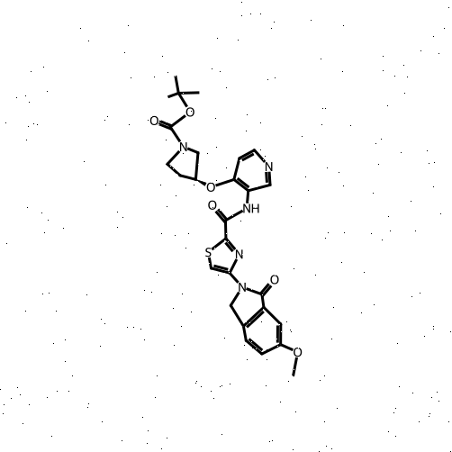 COc1ccc2c(c1)C(=O)N(c1csc(C(=O)Nc3cnccc3O[C@H]3CCN(C(=O)OC(C)(C)C)C3)n1)C2